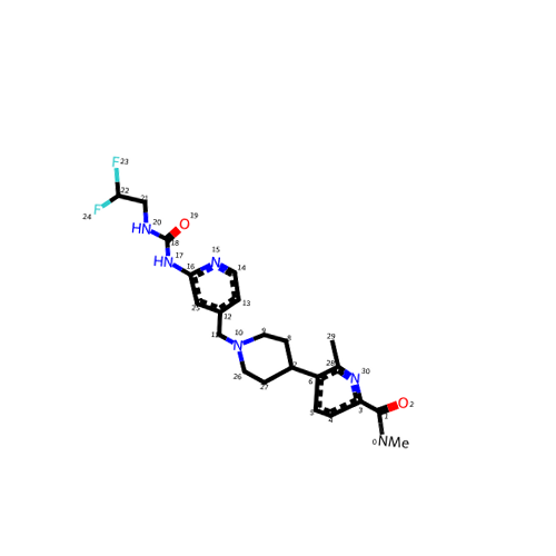 CNC(=O)c1ccc(C2CCN(Cc3ccnc(NC(=O)NCC(F)F)c3)CC2)c(C)n1